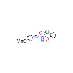 COc1ccc(CNC(=O)NNC(=O)c2ccccc2Cl)cc1